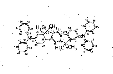 CC1(C)c2cc(N(c3ccccc3)c3ccccc3)ccc2-c2cc3c(cc21)C1C=CC(N(c2ccccc2)c2ccccc2)=CC1C3(C)C